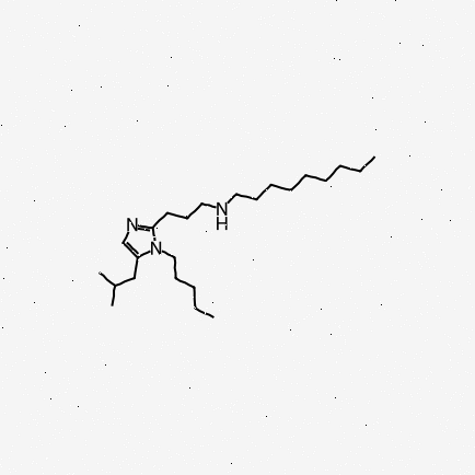 CCCCCCCCCNCCCc1ncc(CC(C)C)n1CCCCC